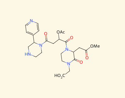 COC(=O)CC1C(=O)N(CC(=O)O)CCN1C(=O)C(CC(=O)N1CCNCC1c1ccncc1)OC(C)=O